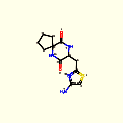 Nc1csc(CC2NC(=O)C3(CCCC3)NC2=O)n1